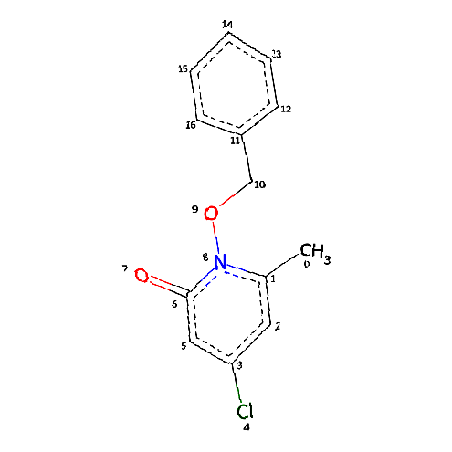 Cc1cc(Cl)cc(=O)n1OCc1ccccc1